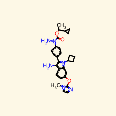 CC(OC(=O)N(N)c1ccc(-c2c(N)c3ccc(Oc4nccn4C)cc3n2C2CCC2)cc1)C1CC1